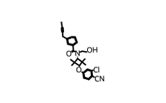 CC#CCc1cccc(C(=O)N(CCO)[C@H]2C(C)(C)[C@H](Oc3ccc(C#N)c(Cl)c3)C2(C)C)c1